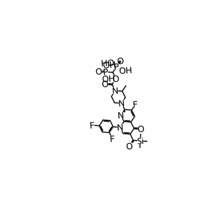 CC1CN(c2nc3c(cc2F)c(=O)c(C(=O)[Si](C)(C)C)cn3-c2ccc(F)cc2F)CCN1C(=O)OC(P(=O)(O)O)P(=O)(O)O